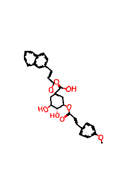 COc1ccc(C=CC(=O)O[C@@H]2C[C@](OCC=Cc3ccc4ccccc4c3)(C(=O)O)C[C@H](O)[C@H]2O)cc1